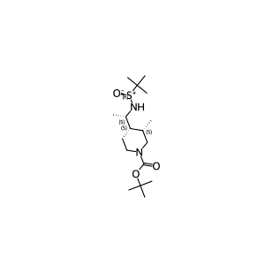 C[C@@H]1CN(C(=O)OC(C)(C)C)CC[C@@H]1[C@H](C)N[S@@+]([O-])C(C)(C)C